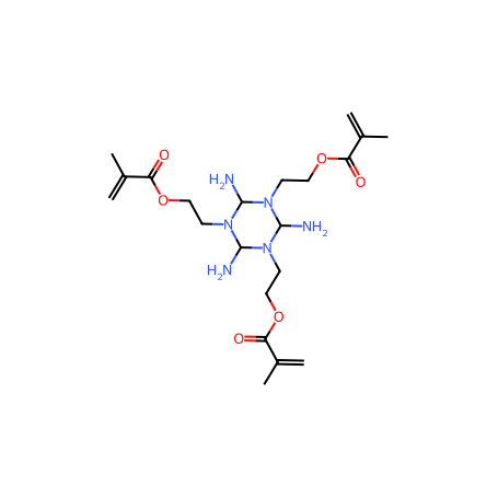 C=C(C)C(=O)OCCN1C(N)N(CCOC(=O)C(=C)C)C(N)N(CCOC(=O)C(=C)C)C1N